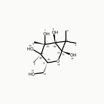 CC1(C)[C@@]2(O)[C@@](C)(O)[C@](C)(O)[C@@H](CO)O[C@@]12O